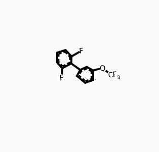 Fc1cccc(F)c1-c1cc[c]c(OC(F)(F)F)c1